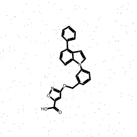 O=C(O)c1cc(OCc2cccc(-n3ccc4c(-c5ccccc5)cccc43)c2)no1